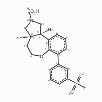 CS(=O)(=O)c1cccc(-c2cccc3c2OCC[C@@H]2CN(C(=O)O)C[C@@H]32)c1